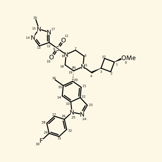 CO[C@H]1C[C@@H](CN2CCN(S(=O)(=O)c3cnn(C)n3)C[C@H]2c2cc3cnn(-c4ccc(F)cc4)c3cc2C)C1